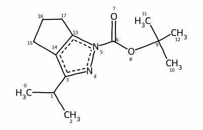 CC(C)c1nn(C(=O)OC(C)(C)C)c2c1CCC2